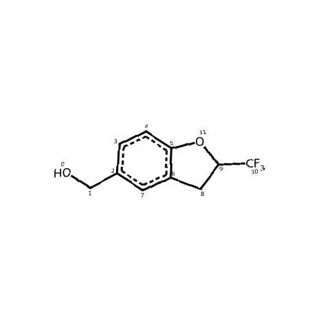 OCc1ccc2c(c1)CC(C(F)(F)F)O2